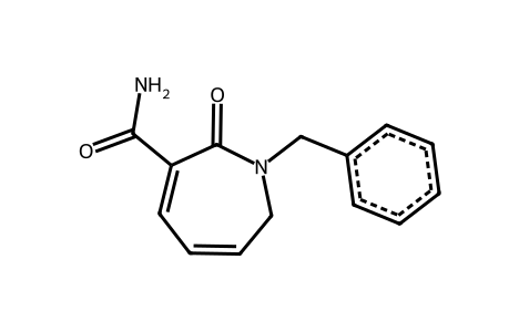 NC(=O)C1=CC=CCN(Cc2ccccc2)C1=O